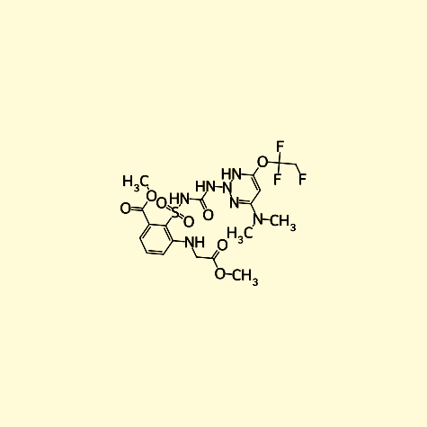 COC(=O)CNc1cccc(C(=O)OC)c1S(=O)(=O)NC(=O)NN1N=C(N(C)C)C=C(OC(F)(F)CF)N1